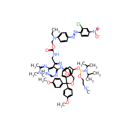 [C-]#[N+]CCOP(OC1CC(n2nc(CNC(=O)OCN(CC)c3ccc(/N=N/c4ccc([N+](=O)[O-])cc4Cl)cc3)c3c(/N=C(/C)N(C)C)ncnc32)OC1COC(c1ccccc1)(c1ccc(OC)cc1)c1ccc(OC)cc1)N(C(C)C)C(C)C